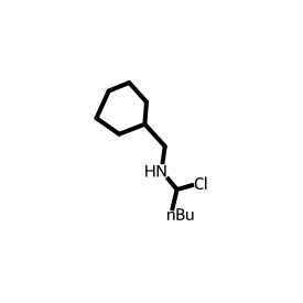 CCCCC(Cl)NCC1CCCCC1